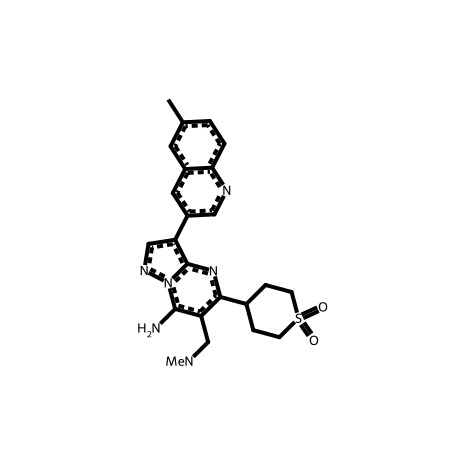 CNCc1c(C2CCS(=O)(=O)CC2)nc2c(-c3cnc4ccc(C)cc4c3)cnn2c1N